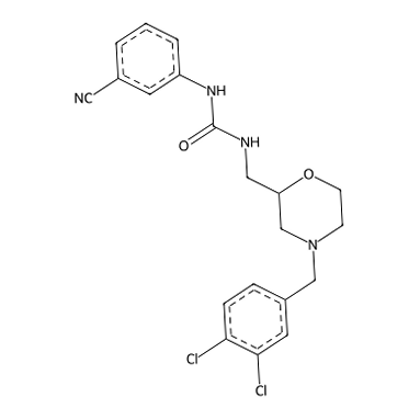 N#Cc1cccc(NC(=O)NCC2CN(Cc3ccc(Cl)c(Cl)c3)CCO2)c1